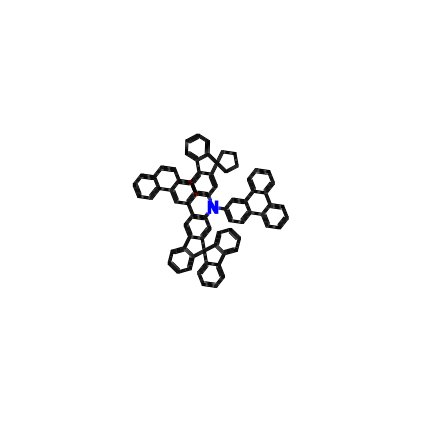 c1ccc2c(c1)-c1ccc(N(c3ccc4c5ccccc5c5ccccc5c4c3)c3cc4c(cc3-c3ccc5ccc6ccccc6c5c3)-c3ccccc3C43c4ccccc4-c4ccccc43)cc1C21CCCC1